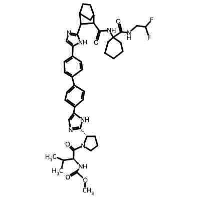 COC(=O)N[C@H](C(=O)N1CCC[C@H]1c1ncc(-c2ccc(-c3ccc(-c4cnc(C5C6CCC(C6)C5C(=O)NC5(C(=O)NCC(F)F)CCCCC5)[nH]4)cc3)cc2)[nH]1)C(C)C